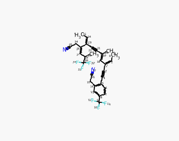 C/C=C(C#Cc1ccc(C(F)(F)F)cc1CC#N)\C=C(/C)C#CC(=C/C)/C(=C\C(C)C(F)(F)F)CC#N